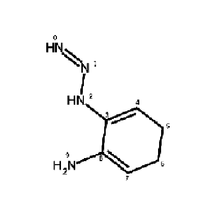 N=NNC1=CCCC=C1N